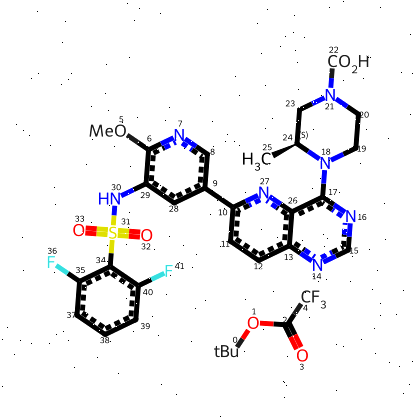 CC(C)(C)OC(=O)C(F)(F)F.COc1ncc(-c2ccc3ncnc(N4CCN(C(=O)O)C[C@@H]4C)c3n2)cc1NS(=O)(=O)c1c(F)cccc1F